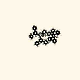 CN1C(c2ccccc2)=C(c2ccccc2)C(c2ccc(-c3cccc(C4=NC(c5cc(-c6ccccc6)cc(-c6ccccc6)c5)=NC(c5cc(-c6ccccc6)cc(-c6ccccc6)c5)N4)c3)cc2)=C(c2ccccc2)C1c1ccccc1